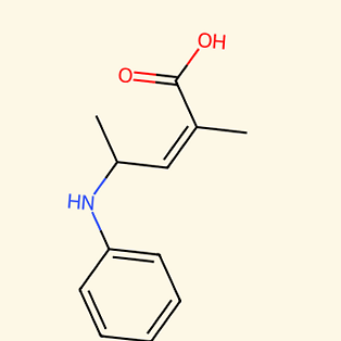 CC(=CC(C)Nc1ccccc1)C(=O)O